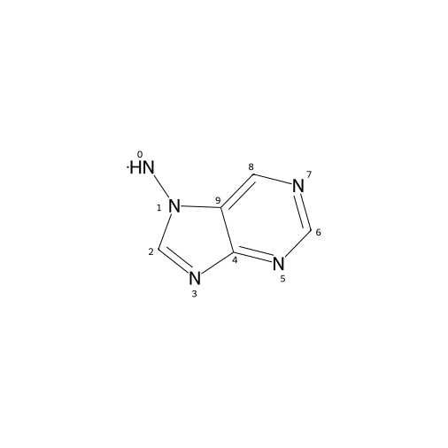 [NH]n1cnc2ncncc21